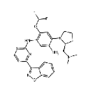 CN(C)C[C@@H]1CCCN1c1cc(OC(F)F)c(Nc2nccc(-c3noc4ccccc34)n2)cc1N